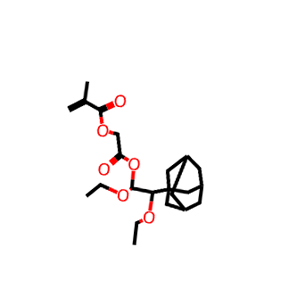 C=C(C)C(=O)OCC(=O)OC(OCC)C(OCC)C12CC3CC(CC(C3)C1)C2